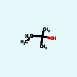 C[SiH2]C(C)(C)O